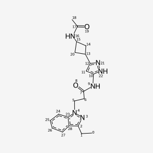 CCc1nn(CCC(=O)Nc2cc(C3CC(NC(C)=O)C3)n[nH]2)c2ccccc12